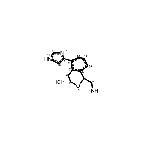 Cl.NCC1OCCc2c(-c3c[nH]cn3)cccc21